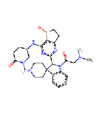 CN(C)CC(=O)NC(c1nc2c(c(NC3CCC(=O)N(C)C3)n1)[S+]([O-])CC2)C1(c2ccccc2)CCNCC1